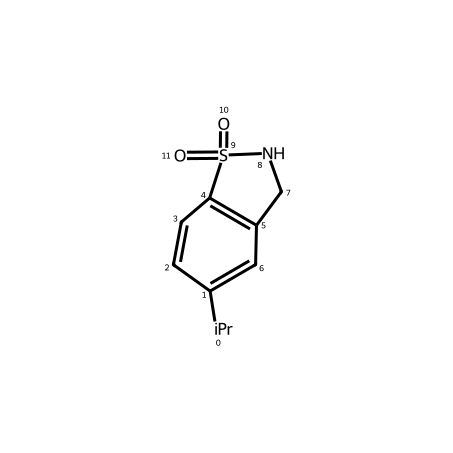 CC(C)c1ccc2c(c1)CNS2(=O)=O